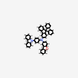 c1ccc(C2(c3ccccc3)c3ccccc3-c3cc(N(c4ccc(-n5c6ccccc6c6ccccc65)cc4)c4ccc5oc6ccccc6c5c4)ccc32)cc1